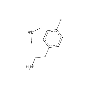 [I][Pb][I].[NH3+]CCc1ccc(F)cc1